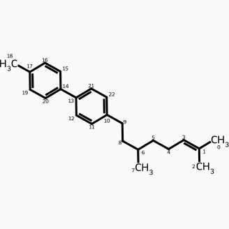 CC(C)=CCCC(C)CCc1ccc(-c2ccc(C)cc2)cc1